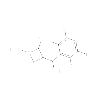 CC(C)(C)C1C(C(O)c2c(F)c(F)cc(F)c2F)CN1C(=O)O